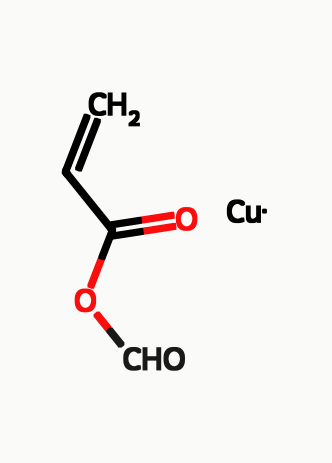 C=CC(=O)OC=O.[Cu]